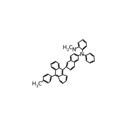 C=Nc1ccccc1N(c1ccccc1)c1ccc2cc(-c3c4ccccc4c(-c4ccc(C)cc4)c4ccccc34)ccc2c1